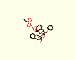 C=CC(=O)OCCOCCC[Si](Cc1ccccc1)(Cc1ccccc1)O[Si](CC)(CC)Cc1ccccc1